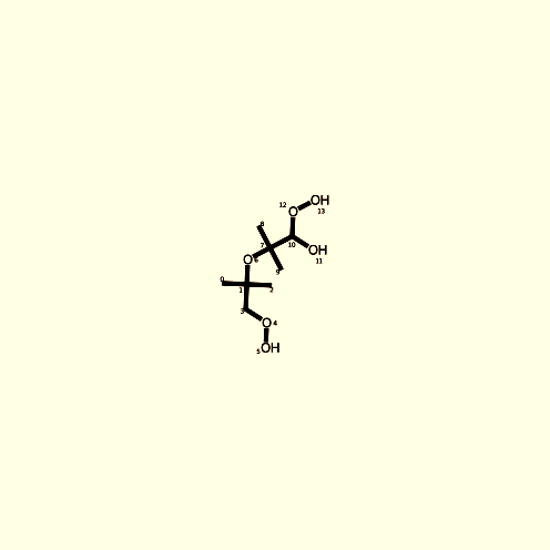 CC(C)(COO)OC(C)(C)C(O)OO